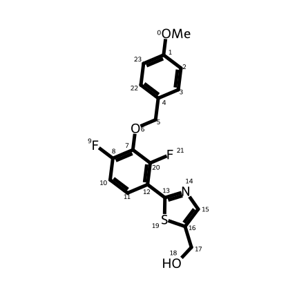 COc1ccc(COc2c(F)ccc(-c3ncc(CO)s3)c2F)cc1